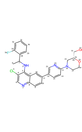 CC(Nc1c(Cl)cnc2ccc(-c3ccc(N4CCO[C@@H](CO)C4)nc3)cc12)c1ccccc1F